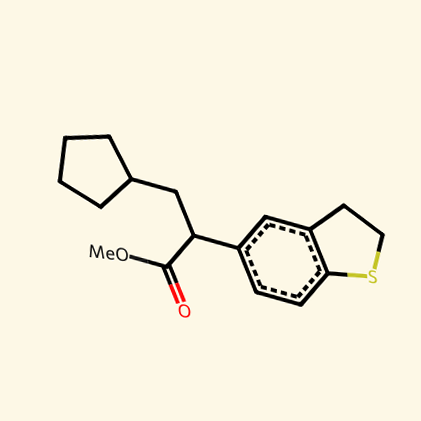 COC(=O)C(CC1CCCC1)c1ccc2c(c1)CCS2